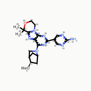 CO[C@@H]1CC2CC1CN2c1nc(-c2cnc(N)nc2)nc2c1nc1n2CCOC1(C)C